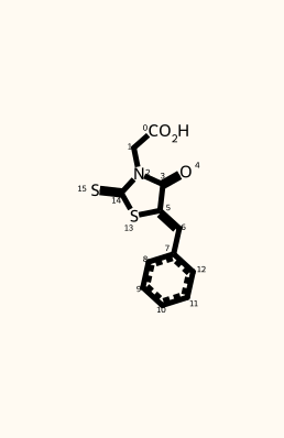 O=C(O)CN1C(=O)/C(=C/c2ccccc2)SC1=S